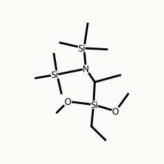 CC[Si](OC)(OC)C(C)N([Si](C)(C)C)[Si](C)(C)C